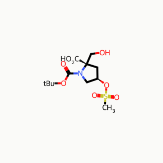 CC(C)(C)OC(=O)N1C[C@H](OS(C)(=O)=O)C[C@]1(CO)C(=O)O